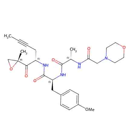 CC#CC[C@H](NC(=O)[C@H](Cc1ccc(OC)cc1)NC(=O)[C@H](C)NC(=O)CN1CCOCC1)C(=O)[C@@]1(C)CO1